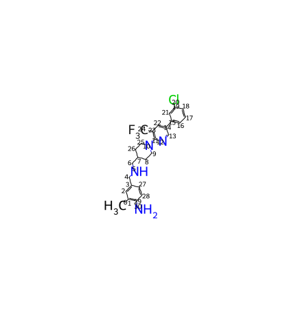 Cc1cc(CNCC2CCN(c3ncc(-c4cccc(Cl)c4)cc3C(F)(F)F)CC2)ccc1N